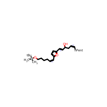 CCCCC/C=C\CC(O)/C=C/c1ccc(/C=C\CCCCO[Si](C)(C)C(C)(C)C)o1